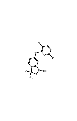 CC1(C)ON(O)c2cc(Nc3cc(Cl)ncc3Cl)ccc21